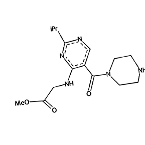 COC(=O)CNc1nc(C(C)C)ncc1C(=O)N1CCNCC1